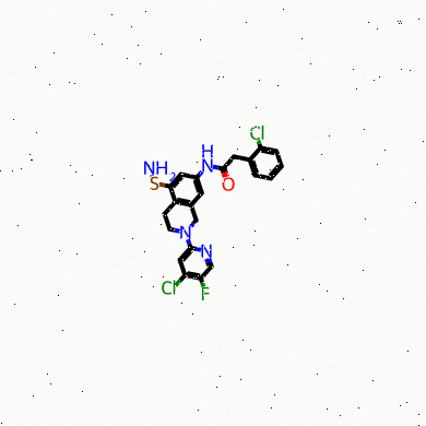 NSc1cc(NC(=O)Cc2ccccc2Cl)cc2c1CCN(c1cc(Cl)c(F)cn1)C2